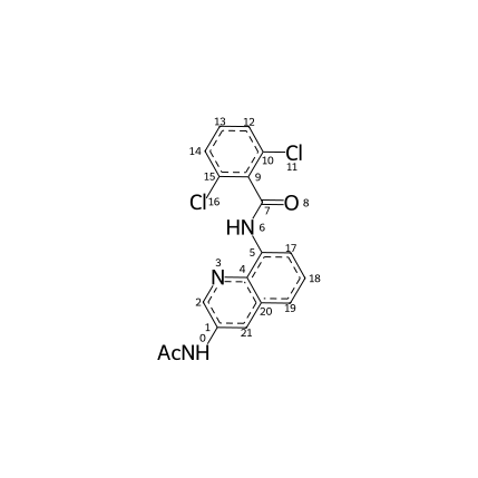 CC(=O)Nc1cnc2c(NC(=O)c3c(Cl)cccc3Cl)cccc2c1